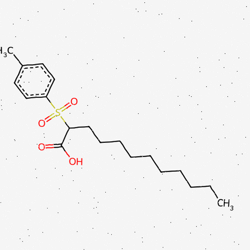 CCCCCCCCCCC(C(=O)O)S(=O)(=O)c1ccc(C)cc1